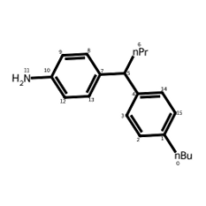 CCCCc1ccc(C(CCC)c2ccc(N)cc2)cc1